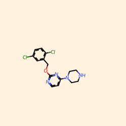 Clc1ccc(Cl)c(COc2nccc(N3CCNCC3)n2)c1